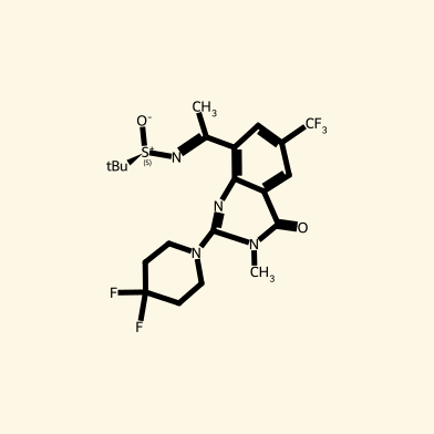 CC(=N[S@+]([O-])C(C)(C)C)c1cc(C(F)(F)F)cc2c(=O)n(C)c(N3CCC(F)(F)CC3)nc12